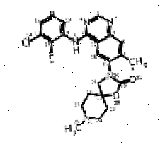 Cc1cc2ncnc(Nc3cccc(Cl)c3F)c2cc1N1CC2(CCN(C)CC2)OC1=O